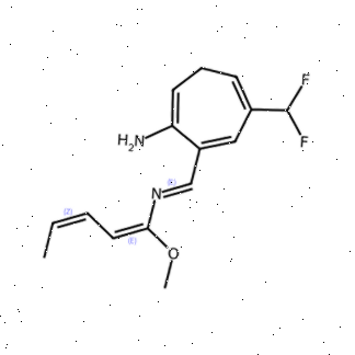 C\C=C/C=C(\N=C\C1=CC(C(F)F)=CCC=C1N)OC